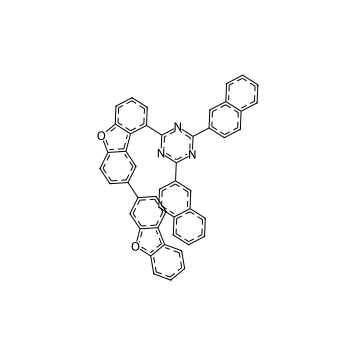 c1ccc2cc(-c3nc(-c4ccc5ccccc5c4)nc(-c4cccc5oc6ccc(-c7ccc8c(c7)oc7ccccc78)cc6c45)n3)ccc2c1